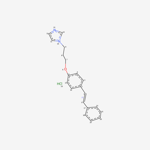 C(=C\c1ccc(OCCCn2ccnc2)cc1)/c1ccccc1.Cl